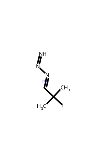 CC(C)(I)/C=N/N=N